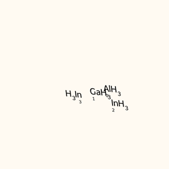 [AlH3].[GaH3].[InH3].[InH3]